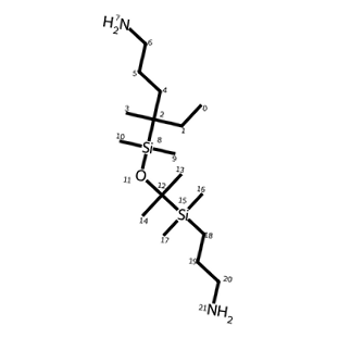 CCC(C)(CCCN)[Si](C)(C)OC(C)(C)[Si](C)(C)CCCN